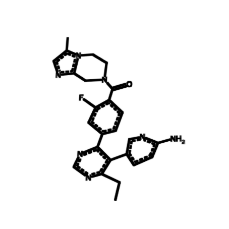 CCc1ncnc(-c2ccc(C(=O)N3CCn4c(C)cnc4C3)c(F)c2)c1-c1ccc(N)nc1